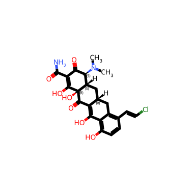 CN(C)[C@@H]1C(=O)C(C(N)=O)=C(O)[C@@]2(O)C(=O)C3=C(O)c4c(O)ccc(C=CCl)c4C[C@H]3C[C@@H]12